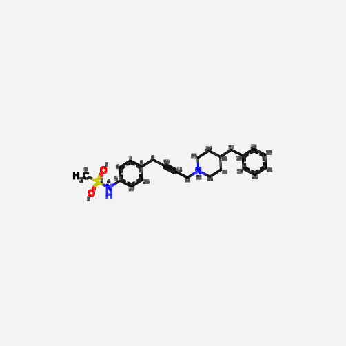 CS(=O)(=O)Nc1ccc(CC#CCN2CCC(Cc3ccccc3)CC2)cc1